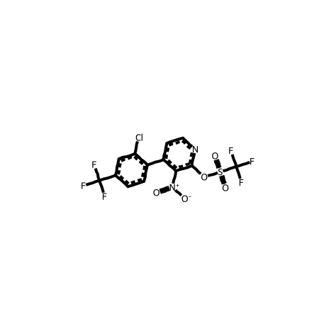 O=[N+]([O-])c1c(-c2ccc(C(F)(F)F)cc2Cl)ccnc1OS(=O)(=O)C(F)(F)F